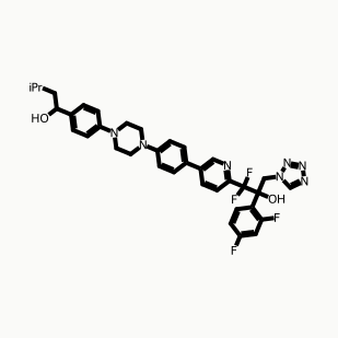 CC(C)CC(O)c1ccc(N2CCN(c3ccc(-c4ccc(C(F)(F)C(O)(Cn5cnnn5)c5ccc(F)cc5F)nc4)cc3)CC2)cc1